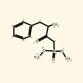 COP(=O)(CC(=O)C(C)Cc1ccccc1)OC